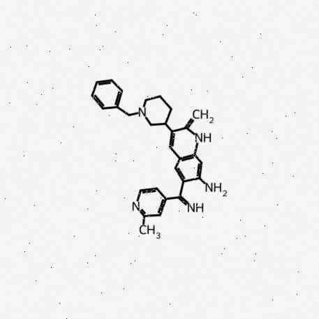 C=C1Nc2cc(N)c(C(=N)c3ccnc(C)c3)cc2C=C1C1CCCN(Cc2ccccc2)C1